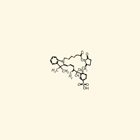 C=C(C=CC=C1N(CCCCCC(=O)ON2C(=O)CCC2=O)c2ccccc2C1(C)C)C(C)(C)c1cc(S(=O)(=O)O)ccc1C